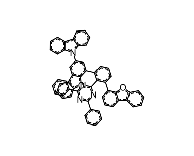 c1ccc(-c2nc(-c3ccccc3)nc(-c3c(-c4cccc5c4oc4ccccc45)cccc3-c3cc(-n4c5ccccc5c5ccccc54)cc4c3oc3ccccc34)n2)cc1